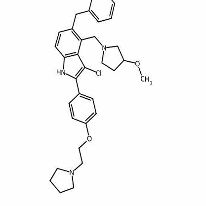 COC1CCN(Cc2c(Cc3ccccc3)ccc3[nH]c(-c4ccc(OCCN5CCCC5)cc4)c(Cl)c23)C1